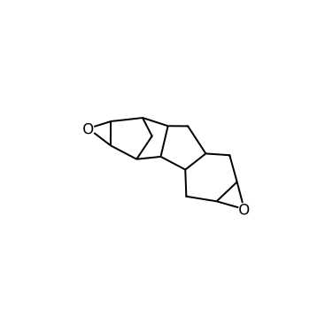 C1C2CC3C4CC(C5OC45)C3C2CC2OC12